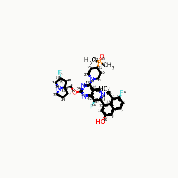 C#Cc1c(F)ccc2cc(O)cc(-c3ncc4c(N5CCC(P(C)(C)=O)CC5)nc(OC[C@@]56CCCN5C[C@H](F)C6)nc4c3F)c12